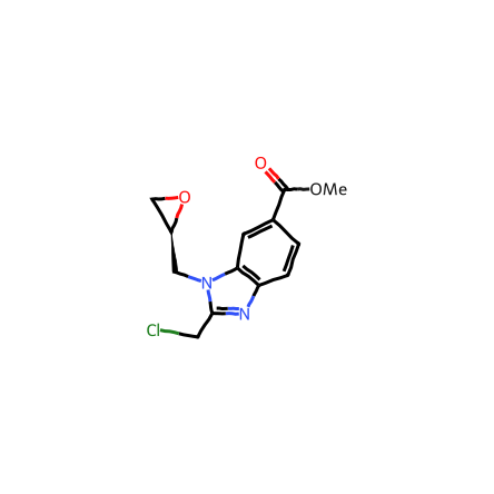 COC(=O)c1ccc2nc(CCl)n(C[C@H]3CO3)c2c1